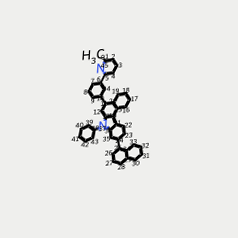 Cc1cccc(-c2cccc(-c3cc4c(c5ccccc35)c3ccc(-c5cccc6ccccc56)cc3n4-c3ccccc3)c2)n1